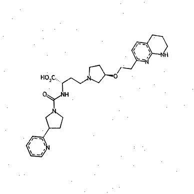 O=C(O)[C@H](CCN1CC[C@@H](OCCc2ccc3c(n2)NCCC3)C1)NC(=O)N1CCC(c2ccccn2)C1